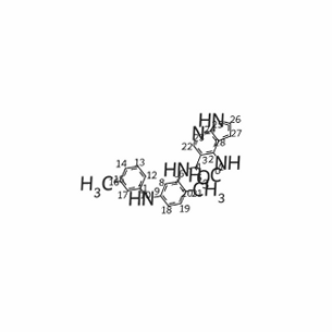 CNc1c(C(=O)Nc2cc(Nc3cccc(C)c3)ccc2C)cnc2[nH]ccc12